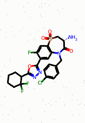 N[C@H]1CS(=O)(=O)c2cc(F)c(-c3nnc(C4CCCCC4(F)F)o3)cc2N(Cc2ccc(Cl)cc2)C1=O